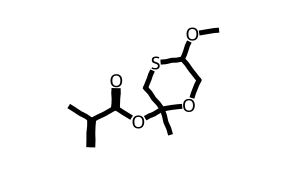 C=C(C)C(=O)OC1(C)CSC(OC)CO1